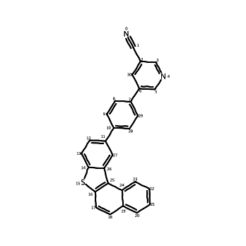 N#Cc1cncc(-c2ccc(-c3ccc4sc5ccc6ccccc6c5c4c3)cc2)c1